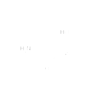 COC(=O)C1(N)CC12CCCC2.Cl